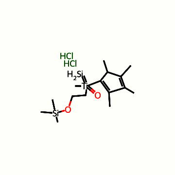 CC1=C(C)C(C)[C]([Ti]([CH3])(=[O])(=[SiH2])[CH2]CO[Si](C)(C)C)=C1C.Cl.Cl